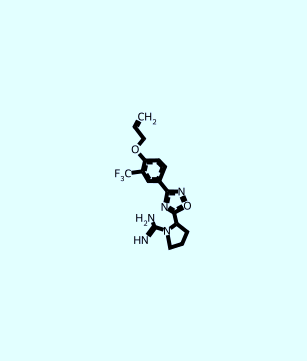 C=CCOc1ccc(-c2noc(C3CCCN3C(=N)N)n2)cc1C(F)(F)F